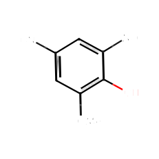 COc1cc(N=O)cc(N=O)c1O